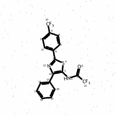 O=C(Nc1sc(-c2ccc(C(F)(F)F)cc2)nc1-c1ccccc1)C(F)(F)F